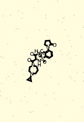 Cc1c(N2CCCC2=O)cccc1S(=O)(=O)N[C@@H](C(N)=O)C(=O)N1CCCN(C2CC2)CC1